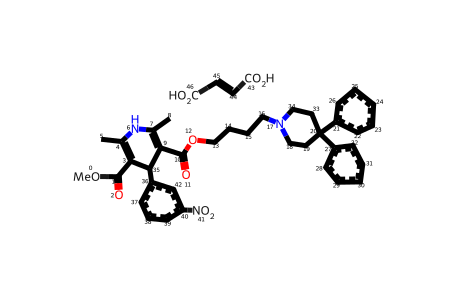 COC(=O)C1=C(C)NC(C)=C(C(=O)OCCCCN2CCC(c3ccccc3)(c3ccccc3)CC2)C1c1cccc([N+](=O)[O-])c1.O=C(O)C=CC(=O)O